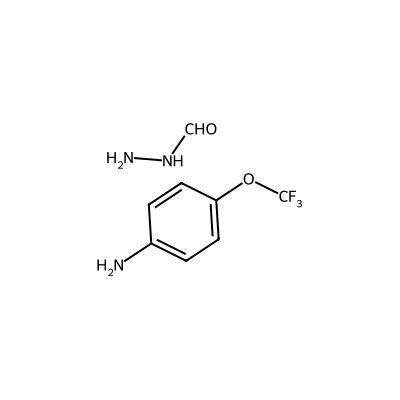 NNC=O.Nc1ccc(OC(F)(F)F)cc1